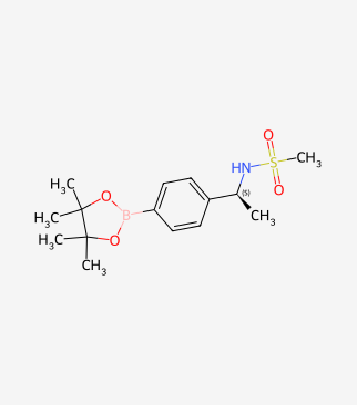 C[C@H](NS(C)(=O)=O)c1ccc(B2OC(C)(C)C(C)(C)O2)cc1